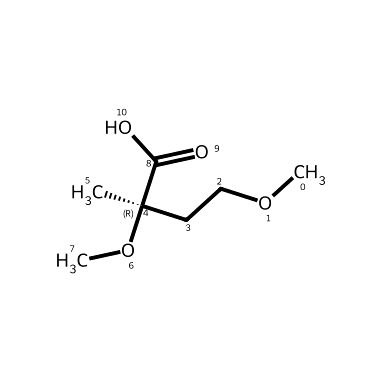 COCC[C@@](C)(OC)C(=O)O